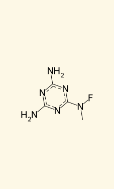 CN(F)c1nc(N)nc(N)n1